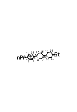 CCCC12CCC([C@H]3CC[C@H]([C@H]4CC[C@H](CC)CC4)CC3)(CC1)CC2